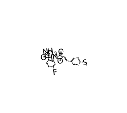 CSc1ccc(C=CS(=O)(=O)Nc2cc(F)ccc2S(N)(=O)=O)cc1